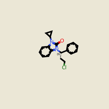 O=c1n(C2CC2)c2ccccc2n1[C@@H](CCCl)c1ccccc1